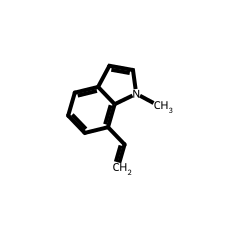 C=Cc1cccc2ccn(C)c12